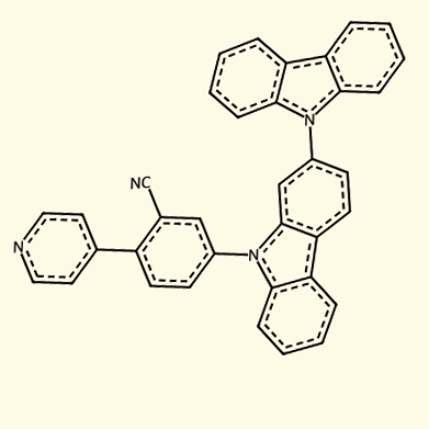 N#Cc1cc(-n2c3ccccc3c3ccc(-n4c5ccccc5c5ccccc54)cc32)ccc1-c1ccncc1